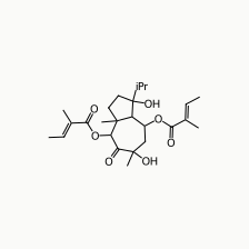 CC=C(C)C(=O)OC1CC(C)(O)C(=O)C(OC(=O)C(C)=CC)C2(C)CCC(O)(C(C)C)C12